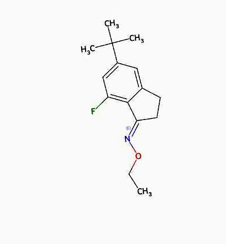 CCO/N=C1\CCc2cc(C(C)(C)C)cc(F)c21